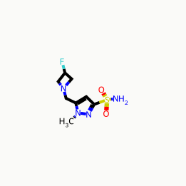 Cn1nc(S(N)(=O)=O)cc1CN1CC(F)C1